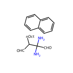 CCCCCCCCC(C=O)C(N)(N)C=O.c1ccc2ccccc2c1